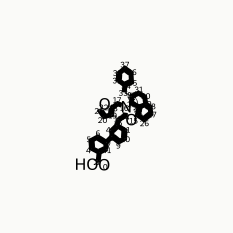 O=C(O)c1cccc(-c2cccc(CC(=O)N(Cc3ccco3)[C@@H]3c4ccccc4CC[C@H]3Cc3ccccc3)c2)c1